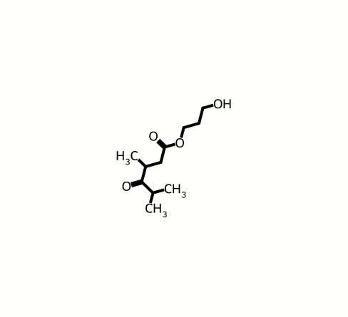 CC(C)C(=O)C(C)CC(=O)OCCCO